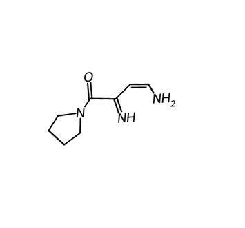 N=C(/C=C\N)C(=O)N1CCCC1